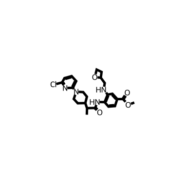 COC(=O)c1ccc(NC(=O)C(C)C2CCN(c3cccc(Cl)n3)CC2)c(NCC2CCO2)c1